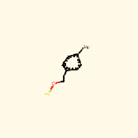 CNc1ccc(COS)cc1